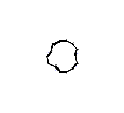 C1=C\CC/C=C/C=C\C/C=C/C/C=C/1